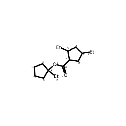 CCC1CC(CC)C(C(=O)OC2(CC)CCCC2)C1